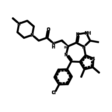 Cc1sc2c(c1C)C(c1ccc(Cl)cc1)=N[C@@H](CNC(=O)CN1CCN(C)CC1)C1=NNC(C)N12